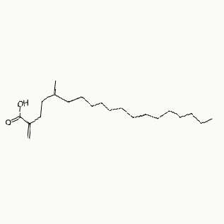 C=C(CCC(C)CCCCCCCCCCCCCC)C(=O)O